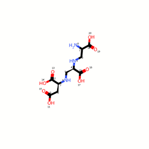 NC(CN[C@H](CN[C@@H](CC(=O)O)C(=O)O)C(=O)O)C(=O)O